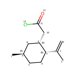 C=C(C)[C@@H]1CC[C@@H](C)C[C@@H]1CC(=O)Cl